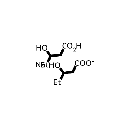 CCC(O)CC(=O)O.CCC(O)CC(=O)[O-].[Na+]